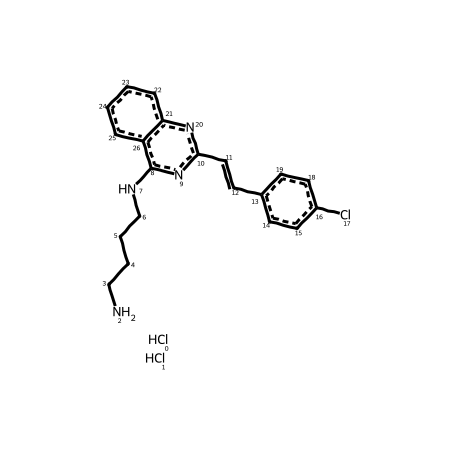 Cl.Cl.NCCCCNc1nc(/C=C/c2ccc(Cl)cc2)nc2ccccc12